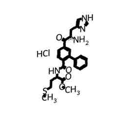 COC(=O)C(CCSC)NC(=O)c1ccc(C(=O)[C@@H](N)Cc2c[nH]cn2)cc1-c1ccccc1.Cl